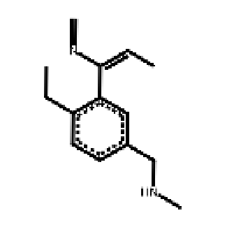 C=N/C(=C/C)c1cc(CNC)ccc1CC